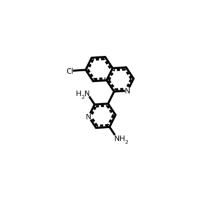 Nc1cnc(N)c(-c2nccc3ccc(Cl)cc23)c1